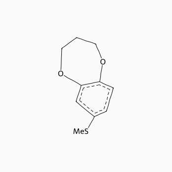 CSc1ccc2c(c1)OCCCO2